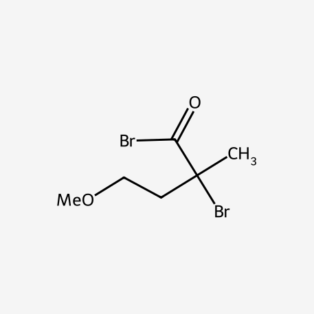 COCCC(C)(Br)C(=O)Br